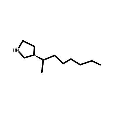 CCCCCCC(C)[C@@H]1CCNC1